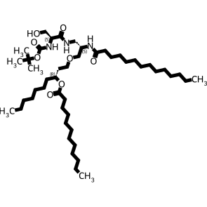 CCCCCCCCCCCCCC(=O)N[C@@H](CNC(=O)[C@H](CO)NC(=O)OC(C)(C)C)COCC[C@@H](CCCCCCC)OC(=O)CCCCCCCCCCC